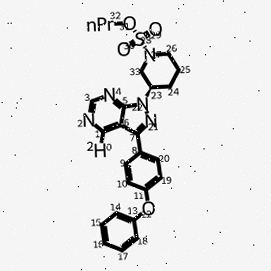 [2H]c1ncnc2c1c(-c1ccc(Oc3ccccc3)cc1)nn2[C@@H]1CCCN(S(=O)(=O)OCCC)C1